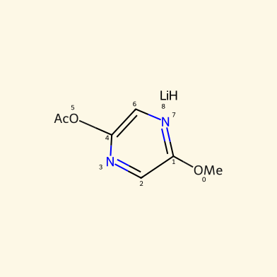 COc1cnc(OC(C)=O)cn1.[LiH]